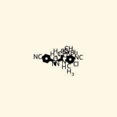 [C-]#[N+]c1ccc(N[C@@H](c2nnc(-c3ccc(C#N)cc3)o2)[C@H](C)O[Si](C)(C)C(C)(C)C)c(C)c1Cl